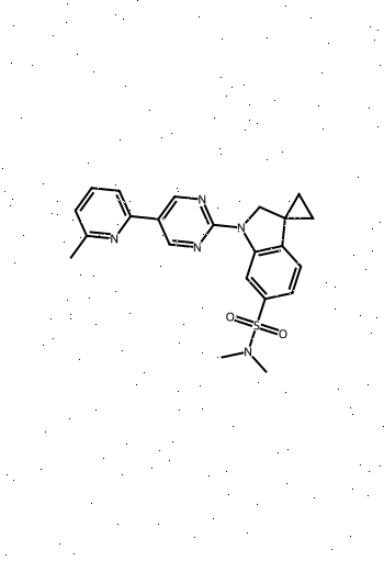 Cc1cccc(-c2cnc(N3CC4(CC4)c4ccc(S(=O)(=O)N(C)C)cc43)nc2)n1